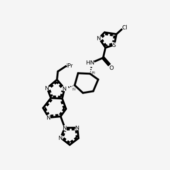 CC(C)Cc1nc2cnc(-n3nccn3)cc2n1[C@H]1CCC[C@@H](NC(=O)c2ncc(Cl)s2)C1